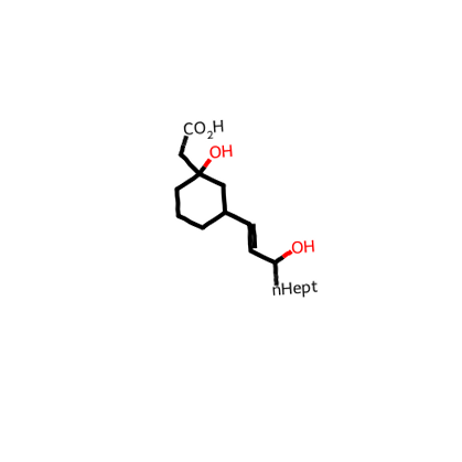 CCCCCCCC(O)C=CC1CCCC(O)(CC(=O)O)C1